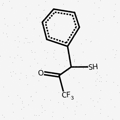 O=C(C(S)c1ccccc1)C(F)(F)F